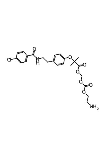 CC(C)(Oc1ccc(CCNC(=O)c2ccc(Cl)cc2)cc1)C(=O)OCOC(=O)OCCN